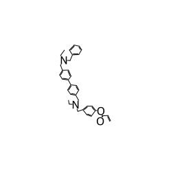 C=CC(=O)Oc1ccc(CN(CC)Cc2ccc(-c3ccc(CN(CC)Cc4ccccc4)cc3)cc2)cc1